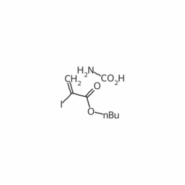 C=C(I)C(=O)OCCCC.NC(=O)O